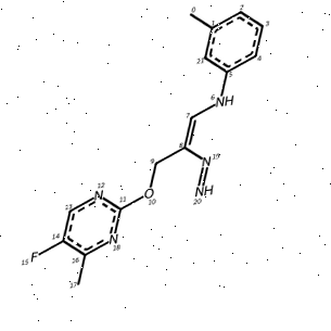 Cc1cccc(N/C=C(/COc2ncc(F)c(C)n2)N=N)c1